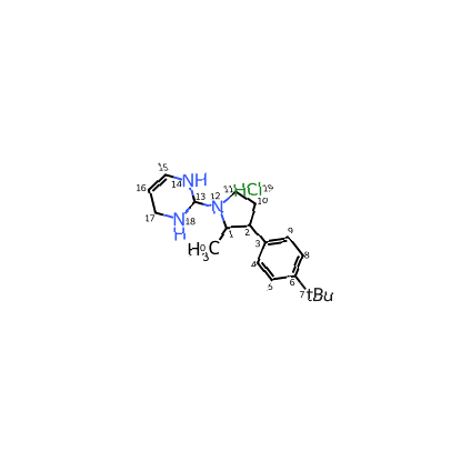 CC1C(c2ccc(C(C)(C)C)cc2)CCN1C1NC=CCN1.Cl